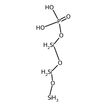 O=P(O)(O)O[SiH2]O[SiH2]O[SiH3]